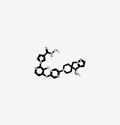 CNC(=O)c1ccn(-c2nccc(Sc3cnc(N4CCC5(CC4)Cn4nccc4[C@H]5N)cn3)c2Cl)c1